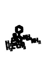 CC(C)(C)N1C(=O)C(NCCN)=C(c2ccccc2)S1(=O)=O